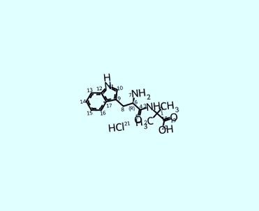 CC(C)(NC(=O)[C@H](N)Cc1c[nH]c2ccccc12)C(=O)O.Cl